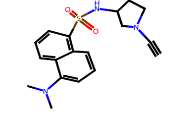 C#CN1CCC(NS(=O)(=O)c2cccc3c(N(C)C)cccc23)C1